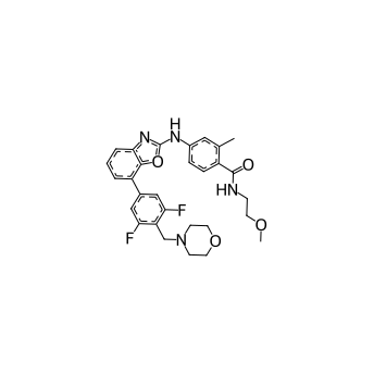 COCCNC(=O)c1ccc(Nc2nc3cccc(-c4cc(F)c(CN5CCOCC5)c(F)c4)c3o2)cc1C